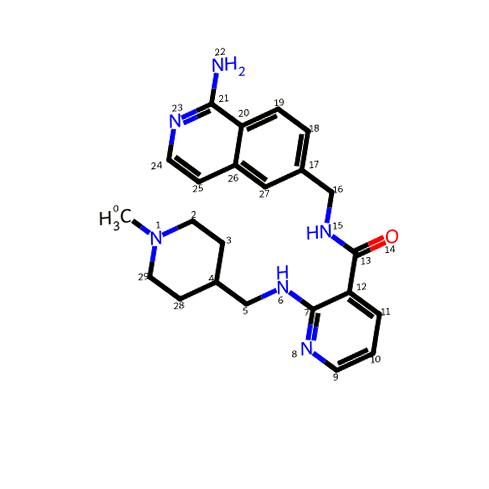 CN1CCC(CNc2ncccc2C(=O)NCc2ccc3c(N)nccc3c2)CC1